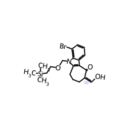 C[Si](C)(C)CCOCn1c2c(c3cccc(Br)c31)C(=O)/C(=C\O)CCC2